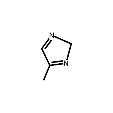 CC1=NCN=C1